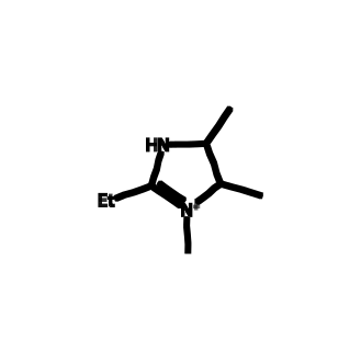 CCC1=[N+](C)C(C)C(C)N1